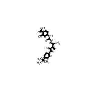 C/C(=N\NC(=S)Nc1ccc(C(=O)O)c(Cl)c1)c1csc(-c2ccc(C(C)(C)C)cc2)c1O